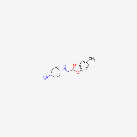 Cc1ccc2c(c1)OC(CN[C@H]1CC[C@H](N)CC1)O2